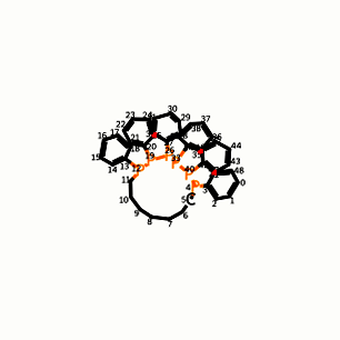 c1ccc(P2CCCCCCCP(c3ccccc3)P(c3ccccc3)P(c3ccccc3)P(c3ccccc3)P2c2ccccc2)cc1